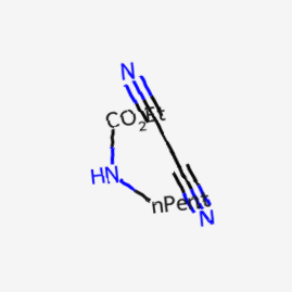 CCCCCNC(=O)OCC.N#CC#N